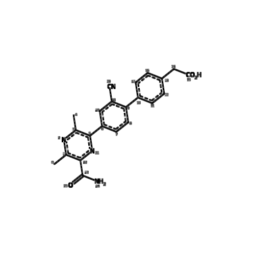 Cc1nc(C)c(-c2ccc(-c3ccc(CC(=O)O)cc3)c(C#N)c2)nc1C(N)=O